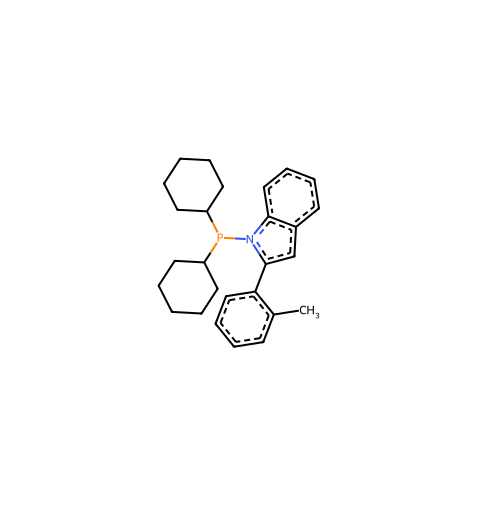 Cc1ccccc1-c1cc2ccccc2n1P(C1CCCCC1)C1CCCCC1